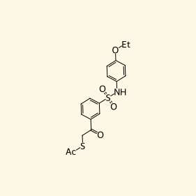 CCOc1ccc(NS(=O)(=O)c2cccc(C(=O)CSC(C)=O)c2)cc1